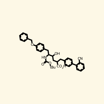 CC(C)(C)OC(=O)NC(Cc1ccc(OCc2ccccc2)cc1)C(O)CC(Cc1ccc(-c2ccccc2C#N)cc1)C(=O)O